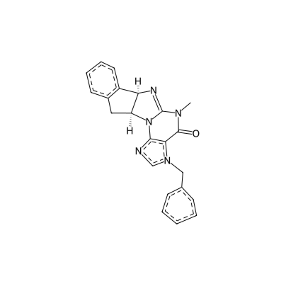 CN1C(=O)c2c(ncn2Cc2ccccc2)N2C1=N[C@@H]1c3ccccc3C[C@@H]12